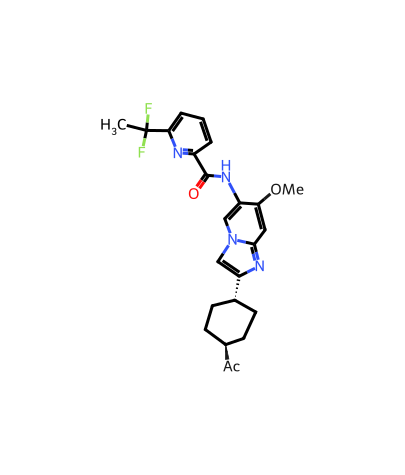 COc1cc2nc([C@H]3CC[C@H](C(C)=O)CC3)cn2cc1NC(=O)c1cccc(C(C)(F)F)n1